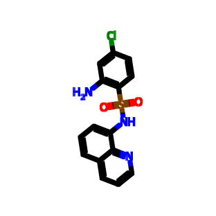 Nc1cc(Cl)ccc1S(=O)(=O)Nc1cccc2cccnc12